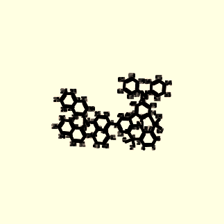 CC1(C)c2cccc3c2-n2c4c1cc(-c1ccc(N(c5ccc6ccccc6c5)c5cccc6ccccc56)c5c1C=CCC5)cc4c1cc(N(c4ccccc4)c4ccccc4)cc(c12)C3(C)C